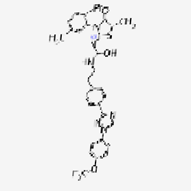 Cc1ccc(C(C)C)c(N2C(=O)C(C)S/C2=N\C(O)NCCc2ccc(-c3ncn(-c4ccc(OC(F)(F)F)cc4)n3)cc2)c1